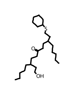 CCCCCC(CCO)CCC(=O)CCC(CCCCC)CCSC1CCCCC1